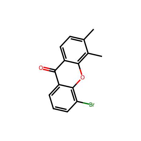 Cc1ccc2c(=O)c3cccc(Br)c3oc2c1C